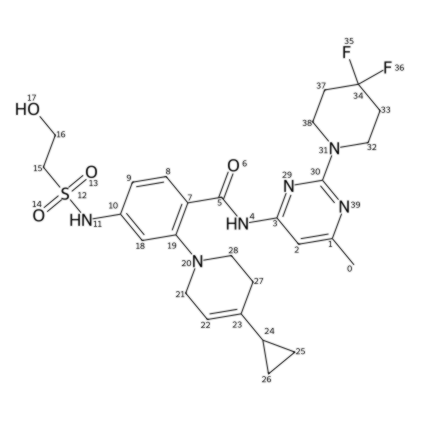 Cc1cc(NC(=O)c2ccc(NS(=O)(=O)CCO)cc2N2CC=C(C3CC3)CC2)nc(N2CCC(F)(F)CC2)n1